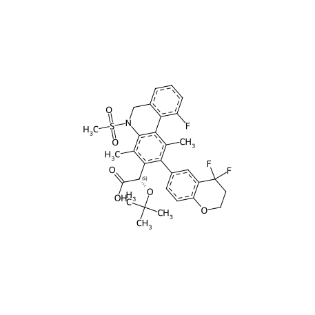 Cc1c(-c2ccc3c(c2)C(F)(F)CCO3)c([C@H](OC(C)(C)C)C(=O)O)c(C)c2c1-c1c(F)cccc1CN2S(C)(=O)=O